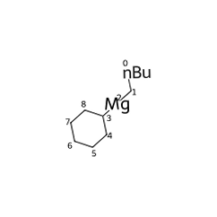 CCCC[CH2][Mg][CH]1CCCCC1